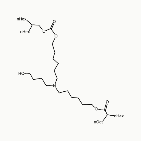 CCCCCCCCC(CCCCCC)C(=O)OCCCCCCN(CCCCO)CCCCCCOC(=O)OCC(CCCCCC)CCCCCC